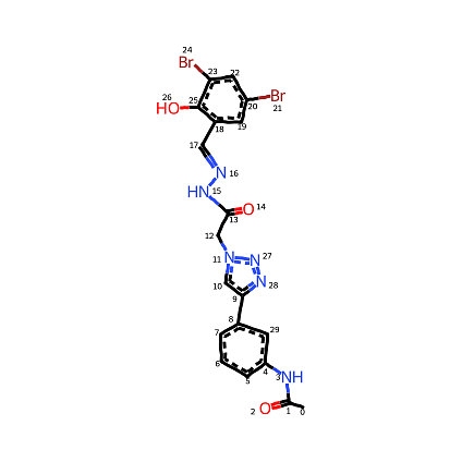 CC(=O)Nc1cccc(-c2cn(CC(=O)NN=Cc3cc(Br)cc(Br)c3O)nn2)c1